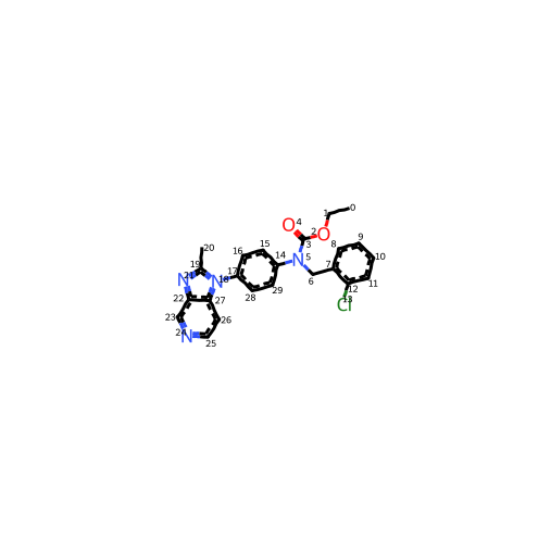 CCOC(=O)N(Cc1ccccc1Cl)c1ccc(-n2c(C)nc3cnccc32)cc1